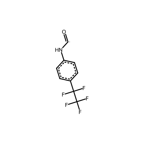 O=[C]Nc1ccc(C(F)(F)C(F)(F)F)cc1